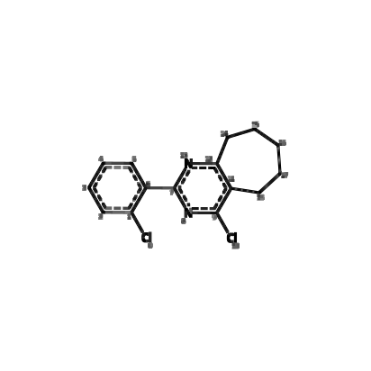 Clc1ccccc1-c1nc(Cl)c2c(n1)CCCCC2